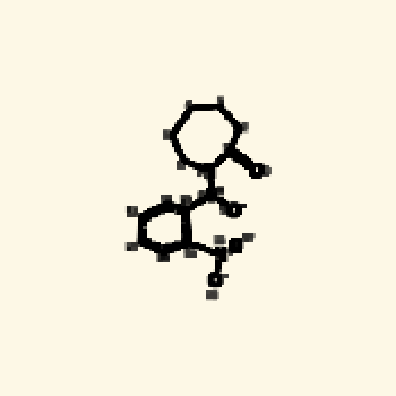 O=C1CCCCCN1[S+]([O-])c1ccccc1[N+](=O)[O-]